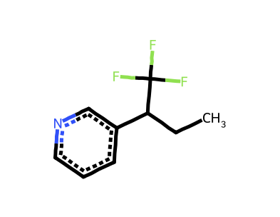 CCC(c1cccnc1)C(F)(F)F